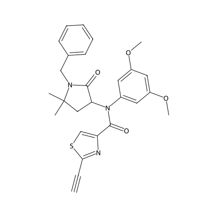 C#Cc1nc(C(=O)N(c2cc(OC)cc(OC)c2)C2CC(C)(C)N(Cc3ccccc3)C2=O)cs1